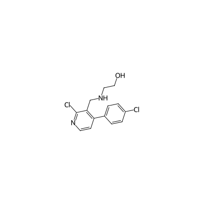 OCCNCc1c(-c2ccc(Cl)cc2)ccnc1Cl